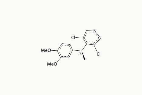 [CH2][C@@H](c1ccc(OC)c(OC)c1)c1c(Cl)cncc1Cl